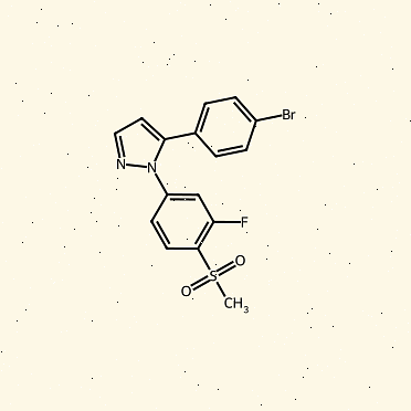 CS(=O)(=O)c1ccc(-n2nccc2-c2ccc(Br)cc2)cc1F